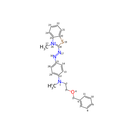 CN(CCOCc1ccccc1)c1ccc(/N=N/c2sc3ccccc3[n+]2C)cc1